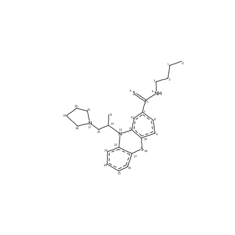 CCCCNC(=S)c1ccc2c(c1)N(C(C)CN1CCCC1)c1ccccc1S2